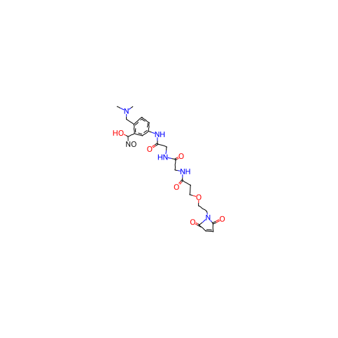 CN(C)Cc1ccc(NC(=O)CNC(=O)CNC(=O)CCOCCN2C(=O)C=CC2=O)cc1C(O)N=O